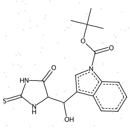 CC(C)(C)OC(=O)n1cc(C(O)C2NC(=S)NC2=O)c2ccccc21